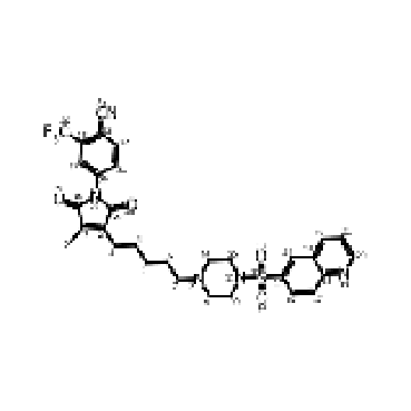 CC1=C(CCCCCN2CCN(S(=O)(=O)c3ccc4ncccc4c3)CC2)C(=O)N(c2ccc(C#N)c(C(F)(F)F)c2)C1=O